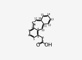 O=C(O)Cc1cccc2c1C=c1ccccc1=CS2